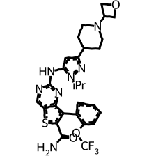 CC(C)n1nc(C2CCN(C3COC3)CC2)cc1Nc1ncc2sc(C(N)=O)c(-c3ccccc3OC(F)(F)F)c2n1